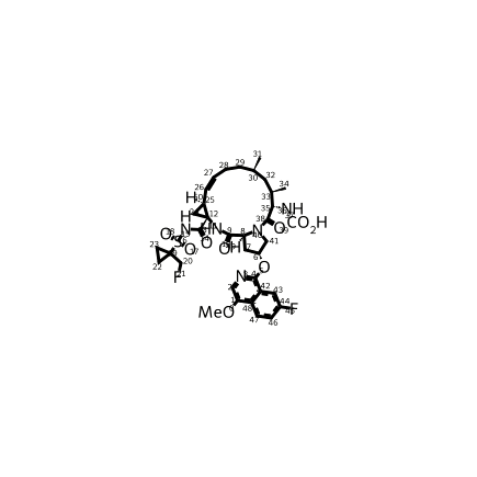 COc1cnc(O[C@@H]2C[C@H]3C(=O)N[C@]4(C(=O)NS(=O)(=O)C5(CF)CC5)C[C@H]4/C=C\CC[C@@H](C)C[C@@H](C)[C@H](NC(=O)O)C(=O)N3C2)c2cc(F)ccc12